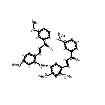 CCCCOc1cccc(C(=O)/C=C/c2ccc(OC)cc2OC)c1.CCCCOc1cccc(C(=O)/C=C/c2ccc(OC)cc2OC)c1